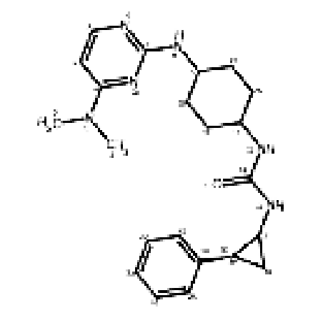 CN(C)c1ccnc(NC2CCC(NC(=O)NC3C[C@H]3c3ccccc3)CC2)n1